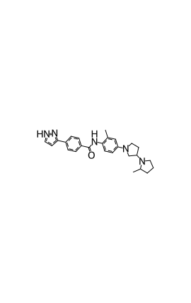 Cc1cc(N2CCC(N3CCCC3C)C2)ccc1NC(=O)c1ccc(-c2cc[nH]n2)cc1